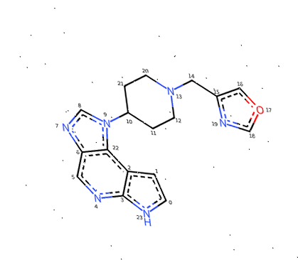 c1cc2c(ncc3ncn(C4CCN(Cc5cocn5)CC4)c32)[nH]1